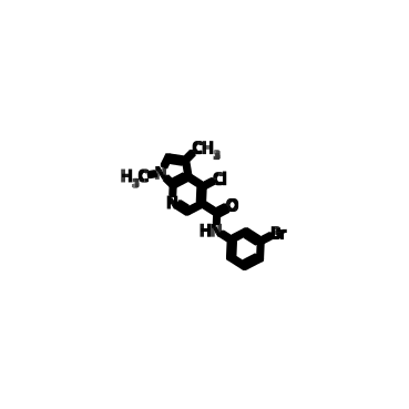 Cc1cn(C)c2ncc(C(=O)Nc3cccc(Br)c3)c(Cl)c12